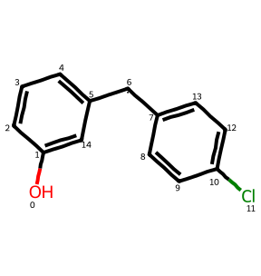 Oc1cccc([CH]c2ccc(Cl)cc2)c1